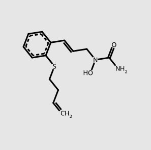 C=CCCSc1ccccc1/C=C/CN(O)C(N)=O